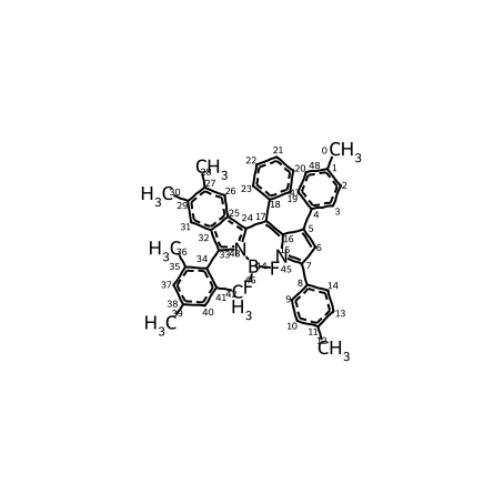 Cc1ccc(C2=CC(c3ccc(C)cc3)=N/C2=C(/c2ccccc2)c2c3cc(C)c(C)cc3c(-c3c(C)cc(C)cc3C)n2B(F)F)cc1